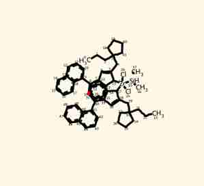 CCCC1(CC2=Cc3c(-c4cccc5ccccc45)cccc3[CH]2[Zr]([Cl])([Cl])([CH]2C(CC3(CCC)CCCC3)=Cc3c(-c4cccc5ccccc45)cccc32)[SiH](C)C)CCCC1